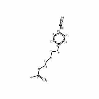 CC(=O)CCCCCCc1ccc(C#N)cc1